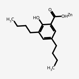 CCCCc1cc(CCCC)c(O)c(C(=O)O)c1.[Zn]